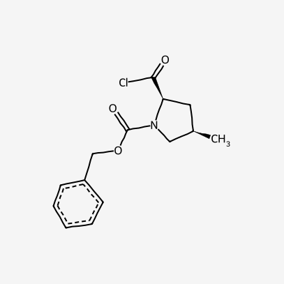 C[C@@H]1C[C@H](C(=O)Cl)N(C(=O)OCc2ccccc2)C1